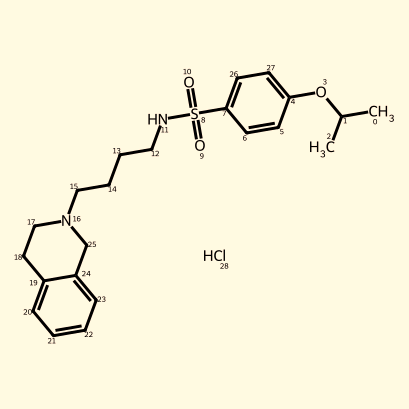 CC(C)Oc1ccc(S(=O)(=O)NCCCCN2CCc3ccccc3C2)cc1.Cl